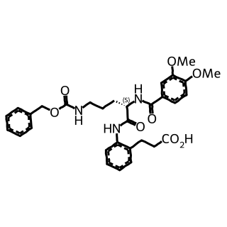 COc1ccc(C(=O)N[C@@H](CCCNC(=O)OCc2ccccc2)C(=O)Nc2ccccc2CCC(=O)O)cc1OC